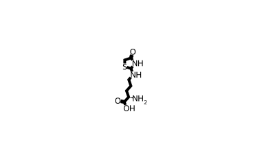 N[C@@H](CCCNC1NC(=O)CS1)C(=O)O